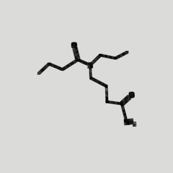 CCCC(=O)N(CCC)CCCC(N)=O